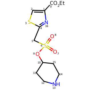 CCOC(=O)c1csc(CS(=O)(=O)OC2CCNCC2)n1